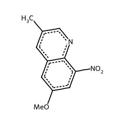 COc1cc([N+](=O)[O-])c2ncc(C)cc2c1